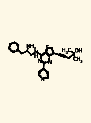 CC(C)(O)CC#Cc1csc2c(NCC(N)Cc3ccccc3)nc(-c3ccncc3)nc12